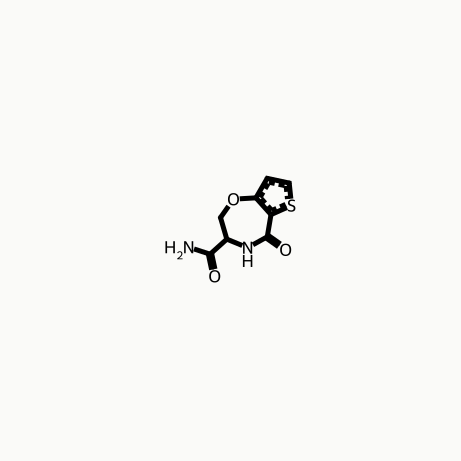 NC(=O)C1COc2ccsc2C(=O)N1